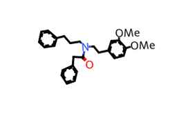 COc1ccc(CCN(CCCc2ccccc2)C(=O)Cc2ccccc2)cc1OC